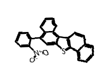 O=[N+]([O-])c1ccccc1-c1cc2sc3c4ccccc4ccc3c2c2ccccc12